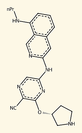 CCCNc1cccc2cc(Nc3cnc(C#N)c(O[C@@H]4CCNC4)n3)ncc12